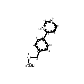 CC(C)(C)OCc1ccc(-c2ccncn2)cc1